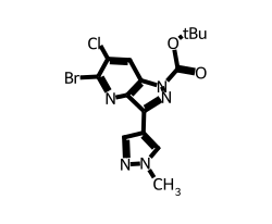 Cn1cc(-c2nn(C(=O)OC(C)(C)C)c3cc(Cl)c(Br)nc23)cn1